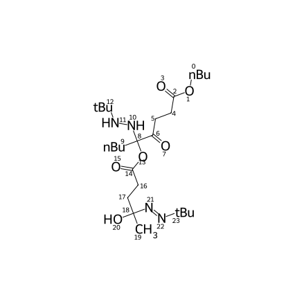 CCCCOC(=O)CCC(=O)C(CCCC)(NNC(C)(C)C)OC(=O)CCC(C)(O)N=NC(C)(C)C